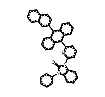 O=c1n(-c2ccccc2)c2ccccc2n1-c1cccc(-c2c3ccccc3c(-c3ccc4ccccc4c3)c3ccccc23)n1